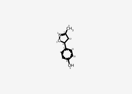 CC1=NOC(c2ccc(O)cc2)C1